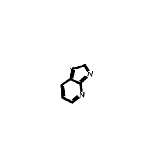 [C]1=c2cccnc2=NC1